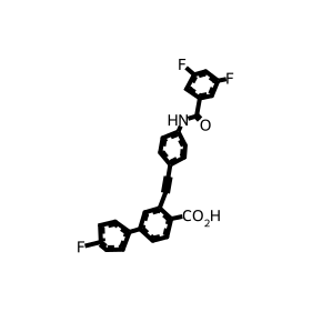 O=C(Nc1ccc(C#Cc2cc(-c3ccc(F)cc3)ccc2C(=O)O)cc1)c1cc(F)cc(F)c1